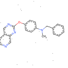 CN(Cc1ccccc1)c1ccc(Oc2ncc3ccncc3n2)cc1